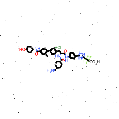 Cc1cc(C(=O)N[C@H]2CC[C@H](O)CC2)ccc1-c1ccc(CC(NC(=O)[C@H]2CC[C@H](CN)CC2)C(=O)Nc2ccc(-c3nnc(C(F)(F)C(F)(F)C(=O)O)[nH]3)cc2)cc1.Cl